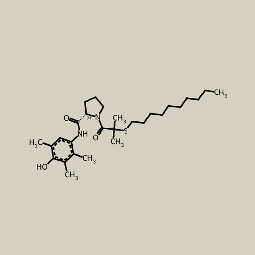 CCCCCCCCCCSC(C)(C)C(=O)N1CCC[C@H]1C(=O)Nc1cc(C)c(O)c(C)c1C